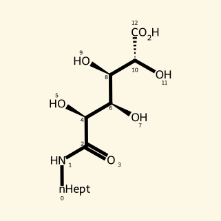 CCCCCCCNC(=O)[C@@H](O)[C@H](O)[C@@H](O)[C@@H](O)C(=O)O